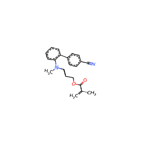 C=C(C)C(=O)OCCCN(C)c1ccccc1-c1ccc(C#N)cc1